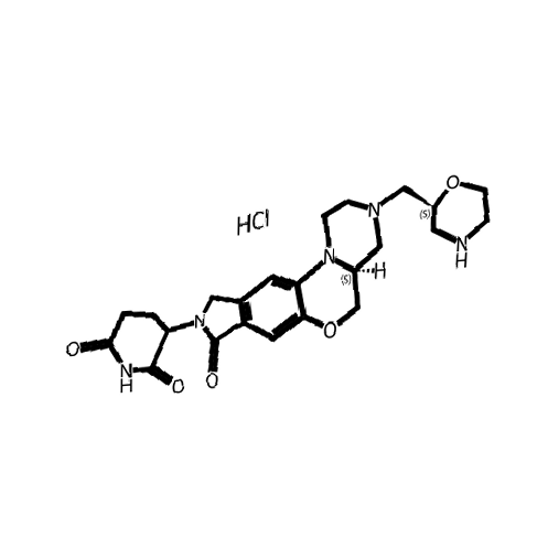 Cl.O=C1CCC(N2Cc3cc4c(cc3C2=O)OC[C@@H]2CN(C[C@@H]3CNCCO3)CCN42)C(=O)N1